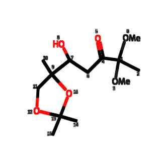 COC(C)(OC)C(=O)CC(O)C1(C)COC(C)(C)O1